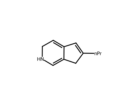 CCCC1=CC2=CCNC=C2C1